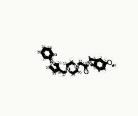 COc1ccc2c(c1)CN2C(=O)CN1CCN(Cc2ccn(-c3ccccc3)c2)CC1